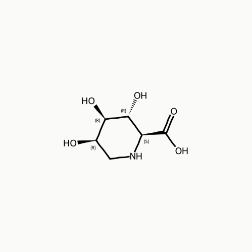 O=C(O)[C@H]1NC[C@@H](O)[C@@H](O)[C@@H]1O